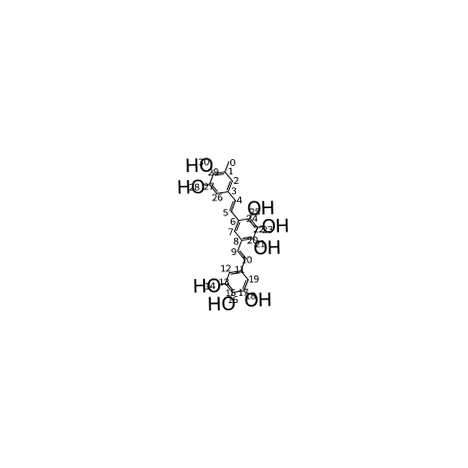 Cc1cc(/C=C/c2cc(/C=C/c3cc(O)c(O)c(O)c3)c(O)c(O)c2O)cc(O)c1O